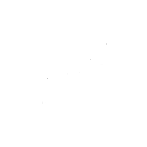 OCC(O)CCCCC(O)CO